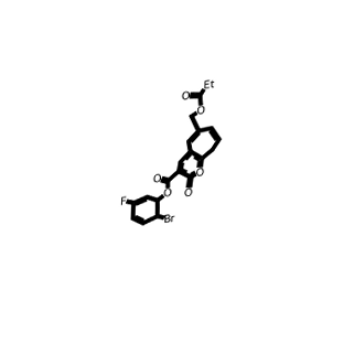 CCC(=O)OCC1=Cc2cc(C(=O)OC3C=C(F)C=CC3Br)c(=O)oc2CC=C1